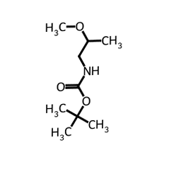 COC(C)CNC(=O)OC(C)(C)C